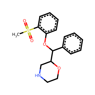 CS(=O)(=O)c1ccccc1OC(c1ccccc1)C1CNCCO1